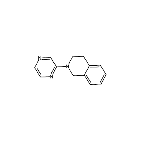 c1ccc2c(c1)CCN(c1cnccn1)C2